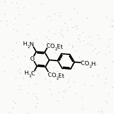 CCOC(=O)C1=C(C)OC(N)=C(C(=O)OCC)C1c1ccc(C(=O)O)cc1